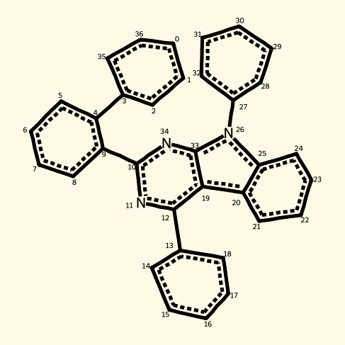 c1ccc(-c2ccccc2-c2nc(-c3ccccc3)c3c4ccccc4n(-c4ccccc4)c3n2)cc1